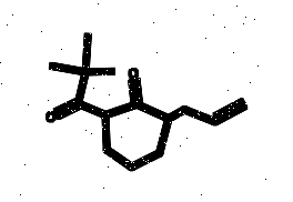 C=CCC1CCCC(C(=O)C(C)(C)C)C1=O